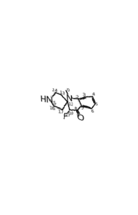 CN1c2ccccc2C(=O)C(F)C12CCNCC2